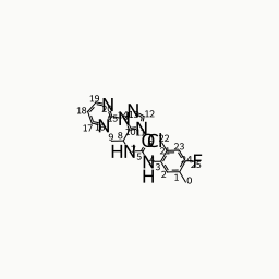 Cc1cc(NC(=O)NC(C)c2ncnn2-c2ncccn2)c(Cl)cc1F